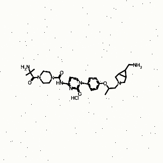 CC(CN1CC2C(CN)C2C1)Oc1ccc(-n2ccc(NC(=O)N3CCN(C(=O)C(C)(C)N)CC3)nc2=O)cc1.Cl